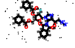 [N-]=[N+]=CC(=O)c1ncn([C@@H]2O[C@H](COC(=O)c3ccccc3)[C@@H](OC(=O)c3ccccc3)[C@H]2F)c1N1C(=O)c2ccccc2C1=O